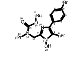 CCCc1c(-c2ccc(Br)cc2)nc(CN(CCC)C(=O)OC(C)(C)C)n1O